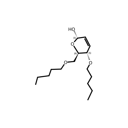 CCCCCOC[C@H]1O[C@H](O)C=C[C@@H]1OCCCCC